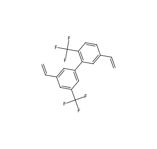 C=Cc1cc(-c2cc(C=C)ccc2C(F)(F)F)cc(C(F)(F)F)c1